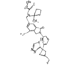 Cn1cnnc1C1(c2cccc(N3Cc4c(cc(CN(C(=O)OC(C)(C)C)C5(C)CCC5)cc4C(F)(F)F)C3=O)c2)CC(CF)C1